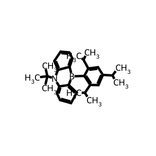 CC(C)c1cc(C(C)C)c(B2c3ccccc3N(C(C)(C)C)c3ccccc32)c(C(C)C)c1